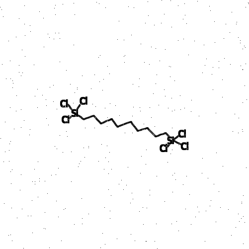 Cl[Si](Cl)(Cl)CCCCCCCCCC[Si](Cl)(Cl)Cl